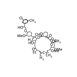 CCC1/C=C(\C)CC(C)CC(OC)C2OC(O)(C(=O)C(=O)N3CCCCC3C(=O)OC(C(C)=CC3CCC(OCC(O)c4cc(C)cc(Cl)c4)C(OC)C3)C(C)C(O)CC1=O)C(C)CC2OC